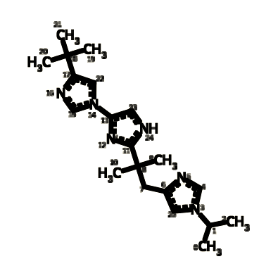 CC(C)n1cnc(CC(C)(C)c2nc(-n3cnc(C(C)(C)C)c3)c[nH]2)c1